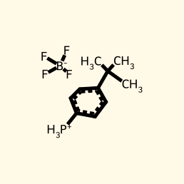 CC(C)(C)c1ccc([PH3+])cc1.F[B-](F)(F)F